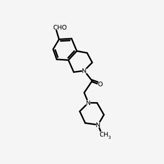 CN1CCN(CC(=O)N2CCc3cc(C=O)ccc3C2)CC1